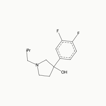 CC(C)CN1CCC(O)(c2ccc(F)c(F)c2)C1